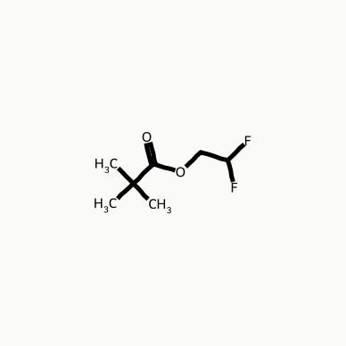 CC(C)(C)C(=O)OCC(F)F